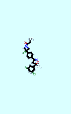 O=C(CC(F)(F)F)N1CC(F)(c2ccc(C3=NOC(c4cc(F)cc(Cl)c4)(C(F)(F)F)C3)cc2)C1